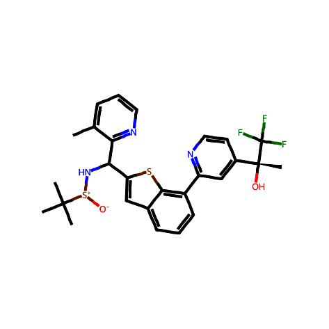 Cc1cccnc1C(N[S+]([O-])C(C)(C)C)c1cc2cccc(-c3cc([C@@](C)(O)C(F)(F)F)ccn3)c2s1